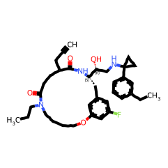 C#CCC1CCC(=O)N(CCC)CCCCOc2cc(F)cc(c2)C[C@@H]([C@H](O)CNC2(c3cccc(CC)c3)CC2)NC1=O